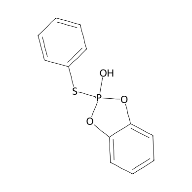 O[P]1(Sc2ccccc2)Oc2ccccc2O1